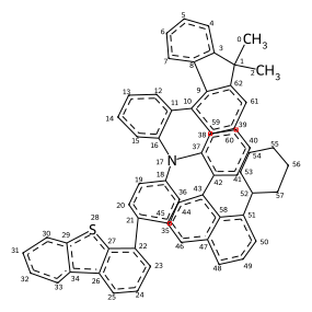 CC1(C)c2ccccc2-c2c(-c3ccccc3N(c3ccc(-c4cccc5c4sc4ccccc45)cc3)c3ccccc3-c3cccc4cccc(C5CCCCC5)c34)cccc21